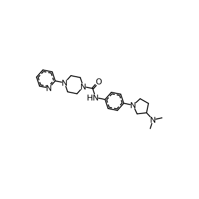 CN(C)C1CCN(c2ccc(NC(=O)N3CCN(c4ccccn4)CC3)cc2)C1